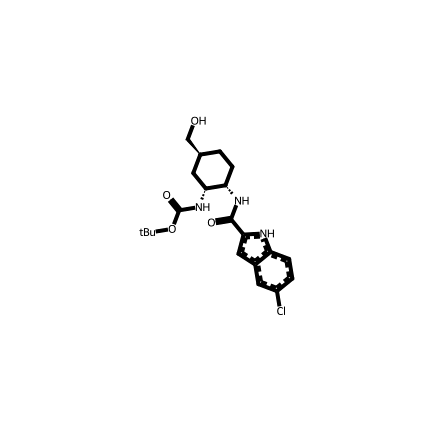 CC(C)(C)OC(=O)N[C@@H]1C[C@@H](CO)CC[C@@H]1NC(=O)c1cc2cc(Cl)ccc2[nH]1